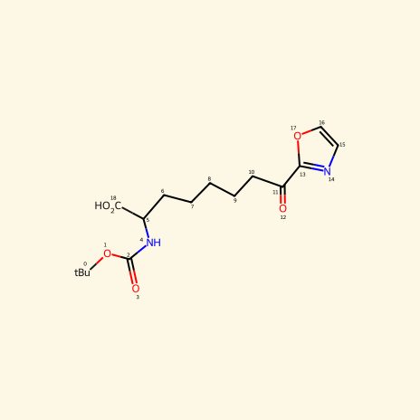 CC(C)(C)OC(=O)NC(CCCCCC(=O)c1ncco1)C(=O)O